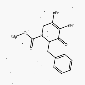 CCCC1=C(CCC)C(=O)C(Cc2ccccc2)N(C(=O)OC(C)(C)C)C1